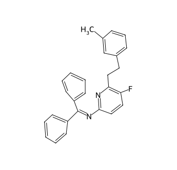 Cc1cccc(CCc2nc(N=C(c3ccccc3)c3ccccc3)ccc2F)c1